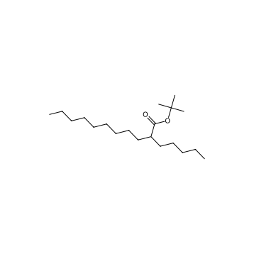 CCCCCCCCCC(CCCCC)C(=O)OC(C)(C)C